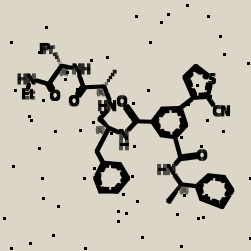 CCNC(=O)[C@@H](NC(=O)[C@H](C)NC[C@H](Cc1ccccc1)NC(=O)c1cc(C(=O)N[C@H](C)c2ccccc2)cc(-c2ccsc2C#N)c1)C(C)C